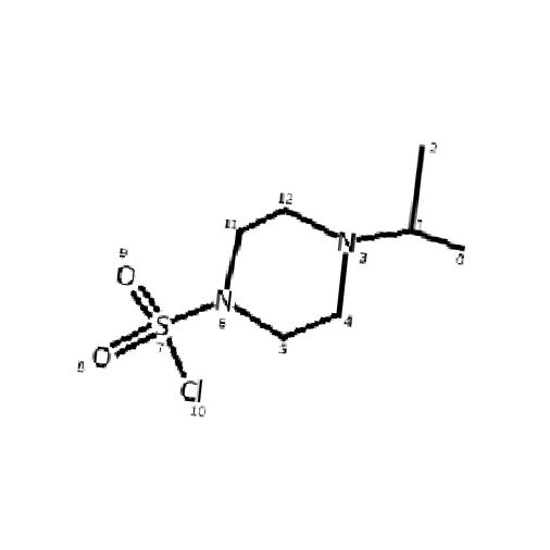 CC(C)N1CCN(S(=O)(=O)Cl)CC1